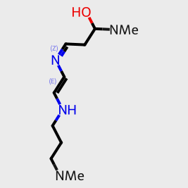 CNCCCN/C=C/N=C\CC(O)NC